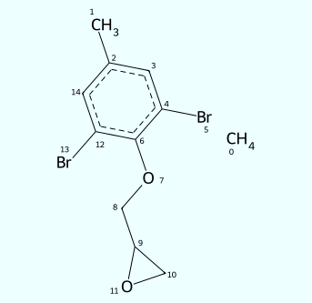 C.Cc1cc(Br)c(OCC2CO2)c(Br)c1